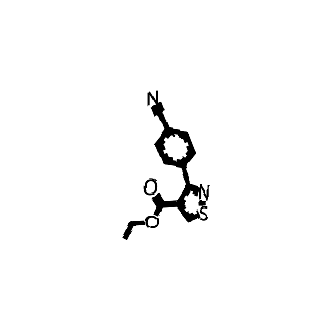 CCOC(=O)c1csnc1-c1ccc(C#N)cc1